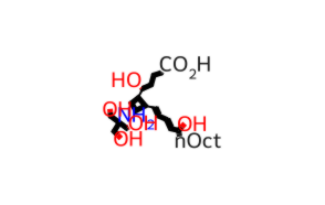 CCCCCCCCC(O)/C=C/C=C/[C@H]1CC[C@H]1C(O)CCCC(=O)O.NC(CO)(CO)CO